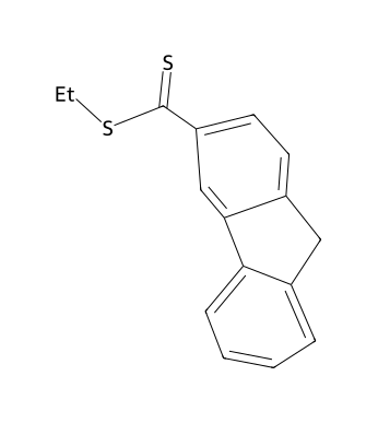 CCSC(=S)c1ccc2c(c1)-c1ccccc1C2